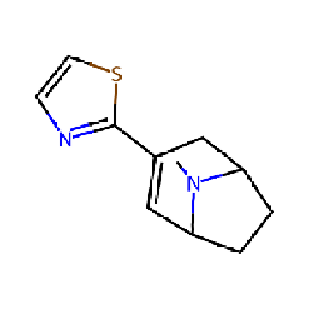 CN1C2C=C(c3nccs3)CC1CC2